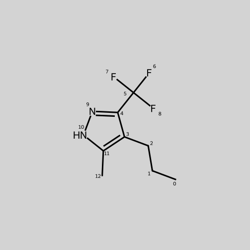 CCCc1c(C(F)(F)F)n[nH]c1C